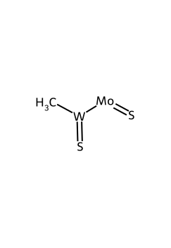 [CH3][W](=[S])[Mo]=[S]